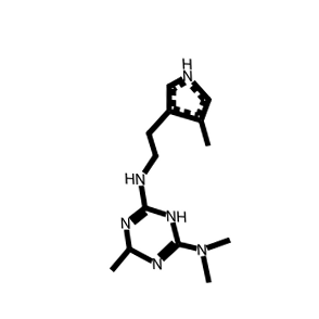 Cc1c[nH]cc1CCNC1=NC(C)N=C(N(C)C)N1